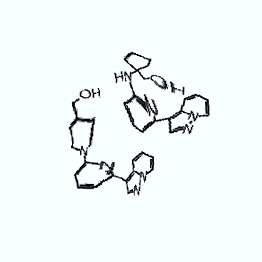 OCC1(Nc2cccc(-c3cnn4ccccc34)n2)CCCC1.OCC1CCN(c2cccc(-c3cnn4ccccc34)n2)CC1